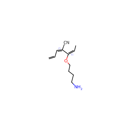 C=C/C=C(C#N)\C(=C/C)OCCCCN